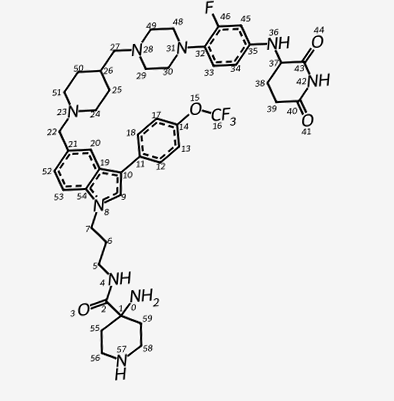 NC1(C(=O)NCCCn2cc(-c3ccc(OC(F)(F)F)cc3)c3cc(CN4CCC(CN5CCN(c6ccc(NC7CCC(=O)NC7=O)cc6F)CC5)CC4)ccc32)CCNCC1